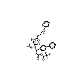 CC(C)C[C@H](NC(=O)CCCNc1ccccn1)C(=O)NC(CC(=O)OC(=O)C(F)(F)F)c1ccc(-c2ccccc2)cc1